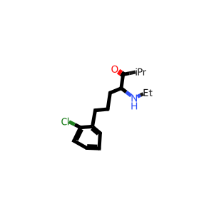 CCNC(CCCc1ccccc1Cl)C(=O)C(C)C